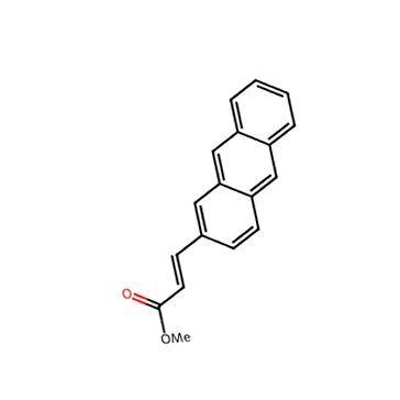 COC(=O)/C=C/c1ccc2cc3ccccc3cc2c1